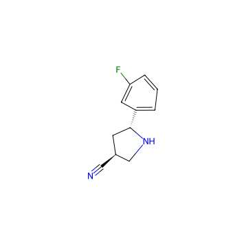 N#C[C@@H]1CN[C@@H](c2cccc(F)c2)C1